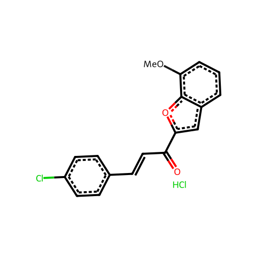 COc1cccc2cc(C(=O)C=Cc3ccc(Cl)cc3)oc12.Cl